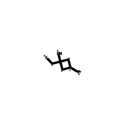 CC(C)N1CC(O)(CF)C1